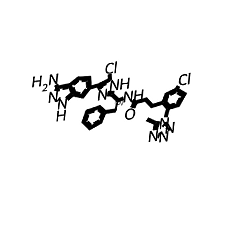 Cc1nnnn1-c1ccc(Cl)cc1CCC(=O)N[C@@H](Cc1ccccc1)c1nc(-c2ccc3c(N)n[nH]c3c2)c(Cl)[nH]1